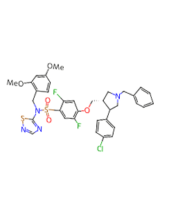 COc1ccc(CN(c2ncns2)S(=O)(=O)c2cc(F)c(OC[C@@H]3CN(Cc4ccccc4)CC3c3ccc(Cl)cc3)cc2F)c(OC)c1